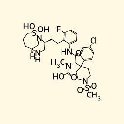 CN(C(=O)O)[C@H](C(=O)Nc1cccc(F)c1CC[C@H]1CN[C@@H]2CCCS(O)(O)N1C2)C1(c2ccc(Cl)cc2)CCN(S(C)(=O)=O)CC1